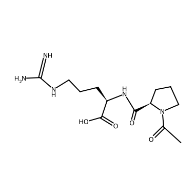 CC(=O)N1CCC[C@@H]1C(=O)N[C@H](CCCNC(=N)N)C(=O)O